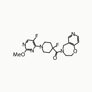 COc1ncc(F)c(N2CCC(F)(C(=O)N3CCOc4ccncc4C3)CC2)n1